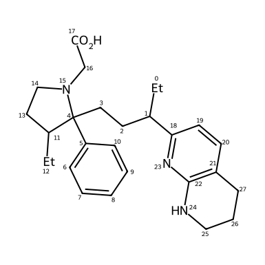 CCC(CCC1(c2ccccc2)C(CC)CCN1CC(=O)O)c1ccc2c(n1)NCCC2